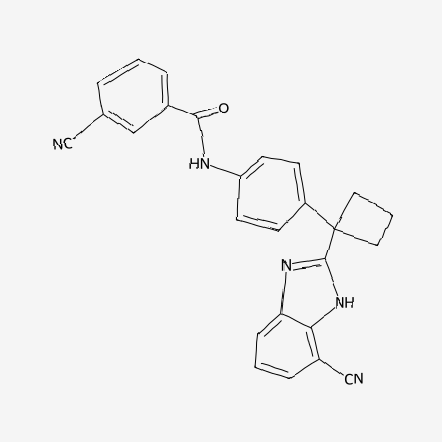 N#Cc1cccc(C(=O)Nc2ccc(C3(c4nc5cccc(C#N)c5[nH]4)CCC3)cc2)c1